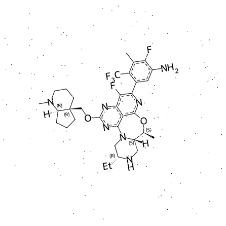 CC[C@@H]1CN2c3nc(OC[C@@]45CCC[C@H]4N(C)CCC5)nc4c(F)c(-c5cc(N)c(F)c(C)c5C(F)(F)F)nc(c34)O[C@@H](C)[C@@H]2CN1